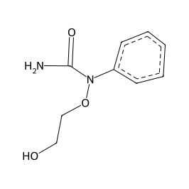 NC(=O)N(OCCO)c1ccccc1